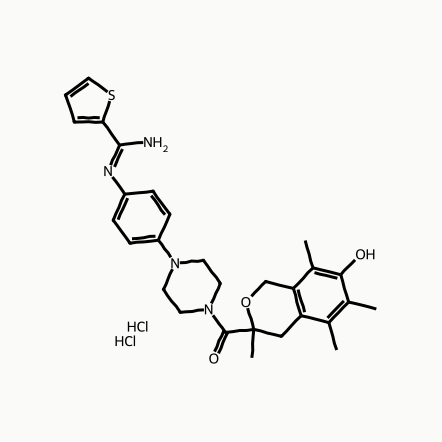 Cc1c(C)c2c(c(C)c1O)COC(C)(C(=O)N1CCN(c3ccc(N=C(N)c4cccs4)cc3)CC1)C2.Cl.Cl